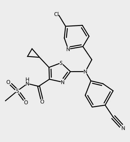 CS(=O)(=O)NC(=O)c1nc(N(Cc2ccc(Cl)cn2)c2ccc(C#N)cc2)sc1C1CC1